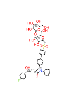 O=C1[C@H](CC[C@H](O)c2ccc(F)cc2)[C@@H](c2ccc(-c3ccc(S(=O)(=O)C[C@@H]4OC(CO)[C@@H](O[C@@H]5OC(CO)[C@@H](O)[C@H](O)C5O)[C@H](O)C4O)cc3)cc2)N1c1ccccc1